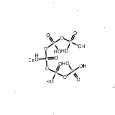 O=P(O)(O)OP(=O)(O)OP(=O)(O)OP(=O)(O)OP(=O)(O)O.[Ce]